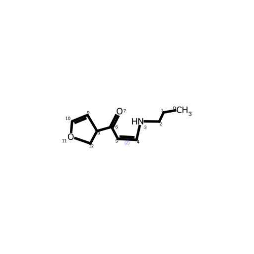 CCCN/C=C\C(=O)C1C=COC1